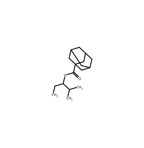 CCC(OC(=O)C12CC3CC(CC(C3)C1)C2)C(C)C